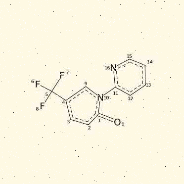 O=c1ccc(C(F)(F)F)cn1-c1ccccn1